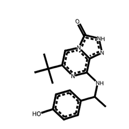 CC(Nc1nc(C(C)(C)C)cn2c(=O)[nH]nc12)c1ccc(O)cc1